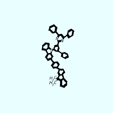 CC1(C)c2ccccc2-c2ccc(-c3ccc(-c4ccc5c6ccccc6n(-c6cc(-c7ccccc7)cc(-c7nc(-c8ccccc8)cc(-c8ccccc8)n7)c6)c5c4)cc3)cc21